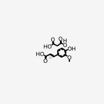 COc1cc(/C=C/C(=O)O)ccc1O.O=C(O)CC(=O)O